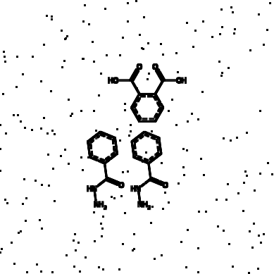 NNC(=O)c1ccccc1.NNC(=O)c1ccccc1.O=C(O)c1ccccc1C(=O)O